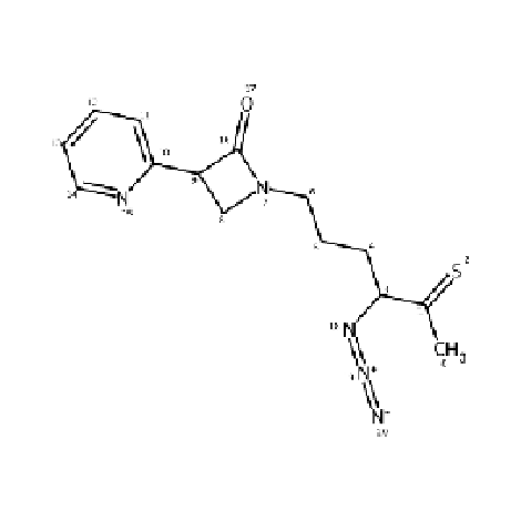 CC(=S)C(CCCN1CC(c2ccccn2)C1=O)N=[N+]=[N-]